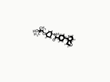 CC(C)(O)CO[C@H]1CC[C@@H](NC(=O)c2ccc(-c3nccc4occc34)cc2)CC1